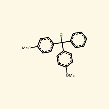 COc1ccc(C(Cl)(c2[c]cccc2)c2ccc(OC)cc2)cc1